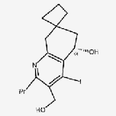 CC(C)c1nc2c(c(I)c1CO)[C@@H](O)CC1(CCC1)C2